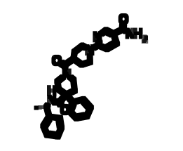 C[C@H](NC(=O)C1(c2ccccc2)CCN(C(=O)C2CCN(c3ccc(C(N)=O)cn3)CC2)CC1)c1ccccc1